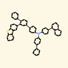 c1ccc(-c2ccc(N(c3ccc(-c4ccc(-c5ccccc5)c(-c5ccc6sc7ccccc7c6c5)c4)cc3)c3ccc(-c4cccc5ccccc45)cc3)cc2)cc1